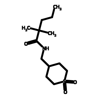 CCCC(C)(C)C(=O)NCC1CCS(=O)(=O)CC1